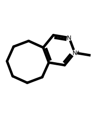 C[n+]1cc2c(cn1)CCCCCC2